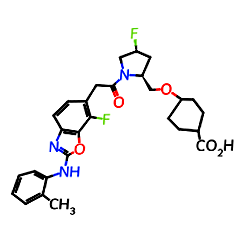 Cc1ccccc1Nc1nc2ccc(CC(=O)N3C[C@@H](F)C[C@H]3COC3CCC(C(=O)O)CC3)c(F)c2o1